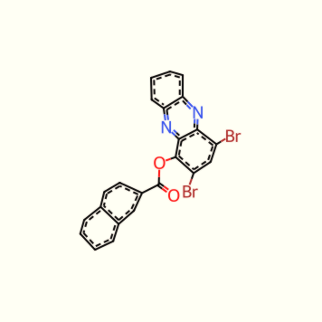 O=C(Oc1c(Br)cc(Br)c2nc3ccccc3nc12)c1ccc2ccccc2c1